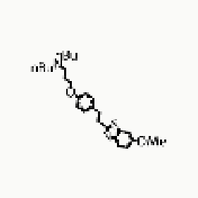 CCCCN(CCCC)CCCOc1ccc(/C=C/c2nc3ccc(OC)cc3s2)cc1